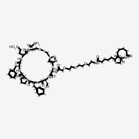 CC(C)C[C@@H]1NC(=O)[C@@H](NC(=O)COCCOCCOCCNC(=O)CCCCC2SC[C@H]3NC(=O)CCCC[C@@H]23)Cc2cn(nn2)CCCC[C@@H](C(N)=O)NC(=O)C(CCC(=O)O)NC(=O)[C@H](Cc2ccccc2)NC(=O)[C@@H]2CCCN2C(=O)[C@H](Cc2ccccc2)NC1=O